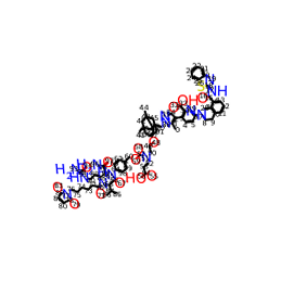 Cc1c(-c2ccc(N3CCc4cccc(C(=O)Nc5nc6ccccc6s5)c4C3)nc2C(=O)O)cnn1CC12CC3(C)CC(C)(C1)CC(OCCN(CCC(=O)O)C(=O)OCc1ccc(N(C(=O)[C@@H](NC(=O)CCCCCN4C(=O)C=CC4=O)C(C)C)[C@@H](CCCNC(N)=O)C(N)=O)cc1)(C3)C2